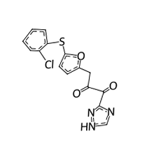 O=C(Cc1ccc(Sc2ccccc2Cl)o1)C(=O)c1nc[nH]n1